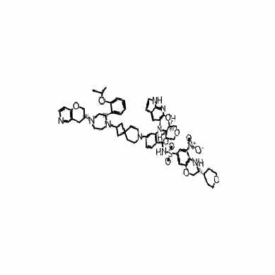 CC(C)Oc1ccccc1[C@@H]1CN([C@H]2COc3ccncc3C2)CCN1C1CC2(CCN(c3ccc(C(=O)NS(=O)(=O)c4cc5c(c([N+](=O)[O-])c4)N[C@H](C4CCOCC4)CO5)c(N4c5cc6cc[nH]c6nc5O[C@H]5COCC[C@@H]54)c3)CC2)C1